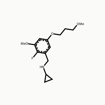 COCCCOc1cc(CNC2CC2)c(F)c(OC)c1